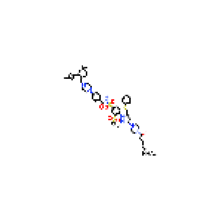 CC(=O)NCCCCC(=O)N1CCN(CC[C@H](CSc2ccccc2)Nc2ccc(S(=O)(=O)NC(=O)c3ccc(N4CCN(CC5=C(C67CC(C)(C6)C7)CC(C)(C)CC5)CC4)cc3)cc2S(=O)(=O)C(F)(F)F)CC1